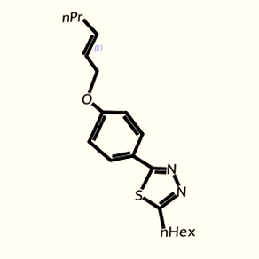 CCC/C=C/COc1ccc(-c2nnc(CCCCCC)s2)cc1